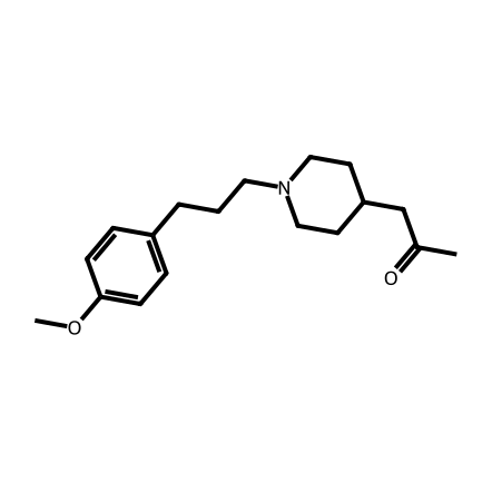 COc1ccc(CCCN2CCC(CC(C)=O)CC2)cc1